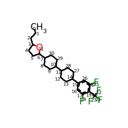 CCCC1CCC(C2CCC(C3CCC(c4cc(F)c(C(F)(F)F)c(F)c4)CC3)CC2)O1